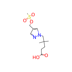 CC(C)(CCC(=O)O)Cn1cc(COS(C)(=O)=O)cn1